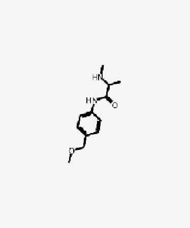 CNC(C)C(=O)Nc1ccc(COC)cc1